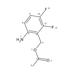 CC(=O)OCc1c(N)ccc(F)c1F